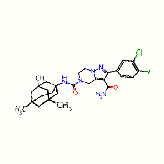 CC12CC3(C)CC(C)(C1)CC(NC(=O)N1CCn4nc(-c5ccc(F)c(Cl)c5)c(C(N)=O)c4C1)(C2)C3